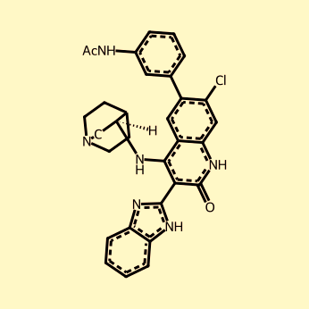 CC(=O)Nc1cccc(-c2cc3c(N[C@H]4CN5CCC4CC5)c(-c4nc5ccccc5[nH]4)c(=O)[nH]c3cc2Cl)c1